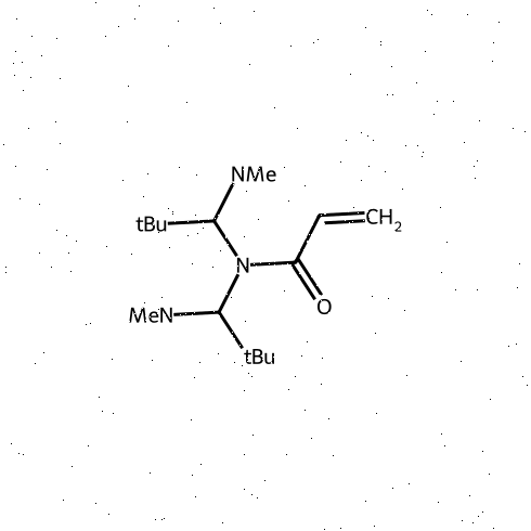 C=CC(=O)N(C(NC)C(C)(C)C)C(NC)C(C)(C)C